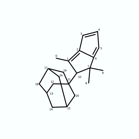 CC1=C2C=CC=C2C(C)(C)C1C12CC3CC(CC(C3)C1)C2